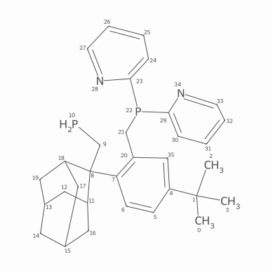 CC(C)(C)c1ccc(C2(CP)C3CC4CC(C3)CC2C4)c(CP(c2ccccn2)c2ccccn2)c1